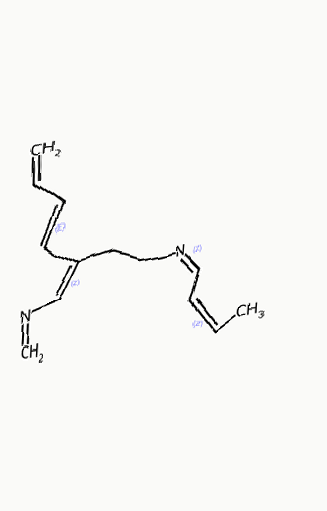 C=C/C=C/C(=C\N=C)CC/N=C\C=C/C